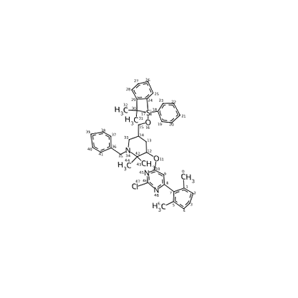 Cc1cccc(C)c1-c1cc(OC2CC(CO[Si]3(c4ccccc4)c4ccccc4C3(C)C)CN(Cc3ccccc3)C2(C)C)nc(Cl)n1